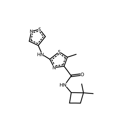 Cc1sc(Nc2cnsc2)nc1C(=O)NC1CCC1(C)C